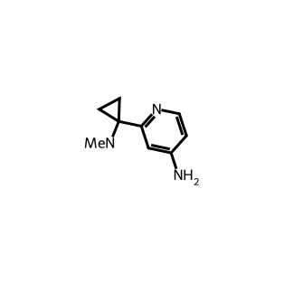 CNC1(c2cc(N)ccn2)CC1